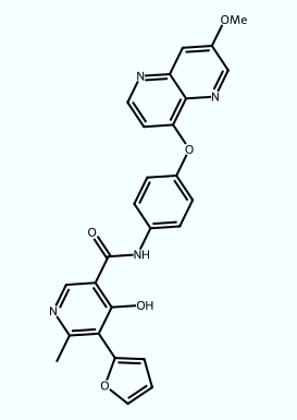 COc1cnc2c(Oc3ccc(NC(=O)c4cnc(C)c(-c5ccco5)c4O)cc3)ccnc2c1